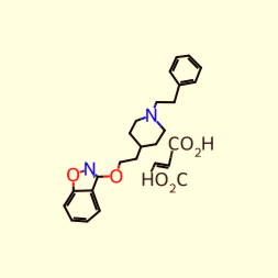 O=C(O)C=CC(=O)O.c1ccc(CCN2CCC(CCOc3noc4ccccc34)CC2)cc1